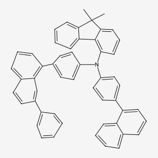 CC1(C)c2ccccc2-c2c(N(c3ccc(-c4cccc5ccccc45)cc3)c3ccc(-c4cccc5ccc(-c6ccccc6)cc45)cc3)cccc21